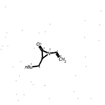 C=CN1C(=O)C1CCCCC